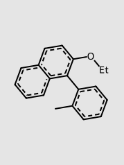 CCOc1ccc2ccccc2c1-c1ccccc1C